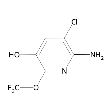 Nc1nc(OC(F)(F)F)c(O)cc1Cl